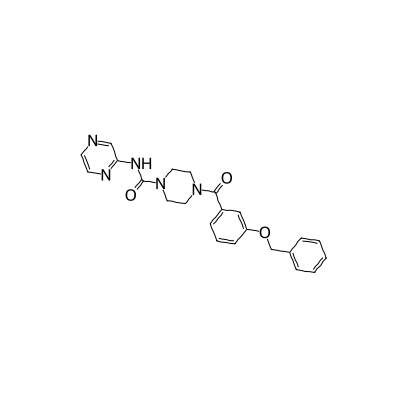 O=C(Nc1cnccn1)N1CCN(C(=O)c2cccc(OCc3ccccc3)c2)CC1